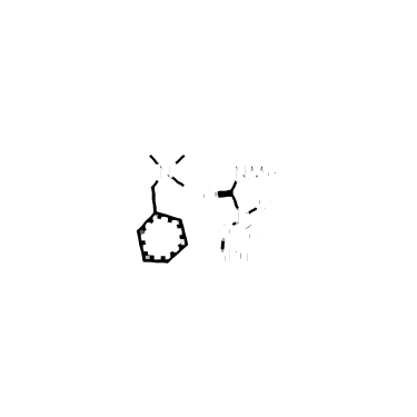 CCCCOP(=O)([O-])C(=O)NC.C[N+](C)(C)Cc1ccccc1